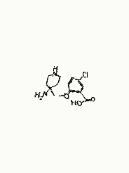 CC1(N)CCNCC1.COc1ccc(Cl)cc1C(=O)O